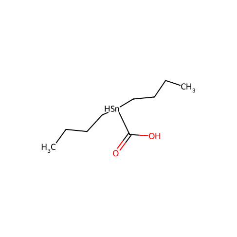 CCC[CH2][SnH]([CH2]CCC)[C](=O)O